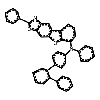 c1ccc(-c2nc3cc4c(cc3o2)oc2c(N(c3ccccc3)c3ccc(-c5ccccc5-c5ccccc5)cc3)cccc24)cc1